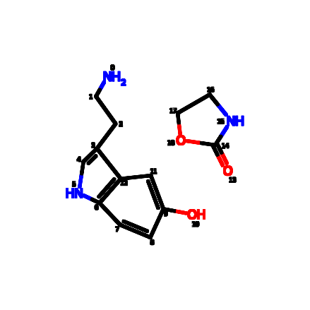 NCCc1c[nH]c2ccc(O)cc12.O=C1NCCO1